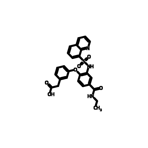 CCNC(=O)c1ccc(Oc2cccc(CC(=O)O)c2)c(NS(=O)(=O)c2cccc3cccnc23)c1